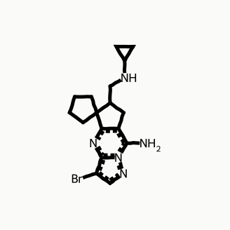 Nc1c2c(nc3c(Br)cnn13)C1(CCCC1)C(CNC1CC1)C2